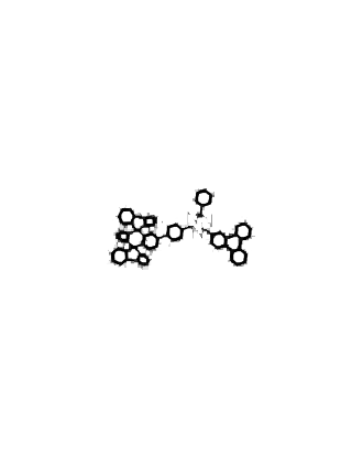 c1ccc(-c2nc(-c3ccc(-c4ccc5c(c4)C4(c6ccccc6-c6ccccc64)c4ccccc4C54c5ccccc5-c5ccccc54)cc3)nc(-c3ccc4c5ccccc5c5ccccc5c4c3)n2)cc1